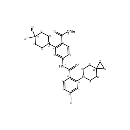 COC(=O)c1ccc(NC(=O)c2ccc(I)cc2N2CCC3(CC2)CC3)cc1N1CCC(F)(F)CC1